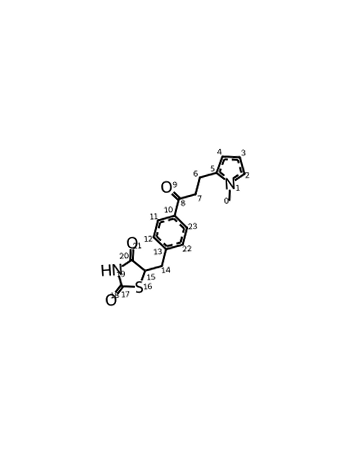 Cn1cccc1CCC(=O)c1ccc(CC2SC(=O)NC2=O)cc1